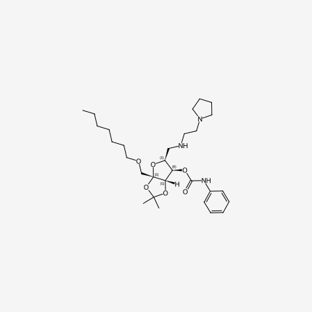 CCCCCCCOC[C@@]12O[C@@H](CNCCN3CCCC3)[C@@H](OC(=O)Nc3ccccc3)[C@@H]1OC(C)(C)O2